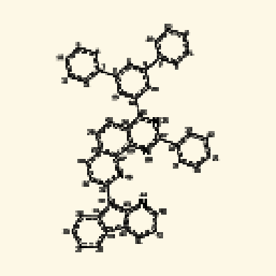 c1ccc(-c2cc(-c3ccccc3)cc(-c3nc(-c4ccccc4)nc4c3ccc3ccc(-n5c6ccccc6c6cccnc65)nc34)c2)cc1